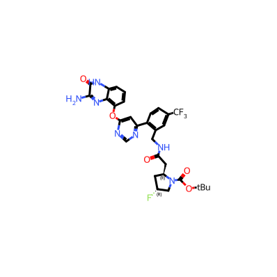 CC(C)(C)OC(=O)N1C[C@H](F)C[C@H]1CC(=O)NCc1cc(C(F)(F)F)ccc1-c1cc(Oc2cccc3[nH]c(=O)c(N)nc23)ncn1